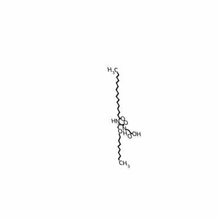 CCCCCCCCCCCCCCCC(=O)N[C@H](COCCCCCCCCCC)C(=O)NCC(=O)O